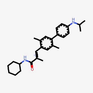 C/C(=C\c1cc(C)c(-c2ccc(NC(C)C)cc2)cc1C)C(=O)NC1CCCCC1